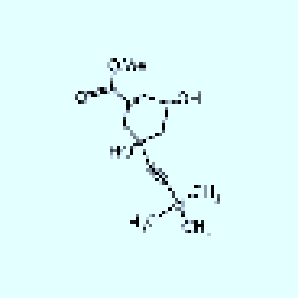 COC(=O)C1=C[C@H](O)C[C@](O)(C#C[Si](C)(C)C)C1